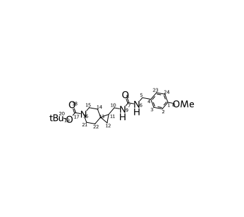 COc1ccc(CNC(=O)NCC2CC23CCN(C(=O)OC(C)(C)C)CC3)cc1